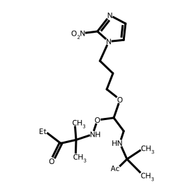 CCC(=O)C(C)(C)NOC(CNC(C)(C)C(C)=O)OCCCn1ccnc1[N+](=O)[O-]